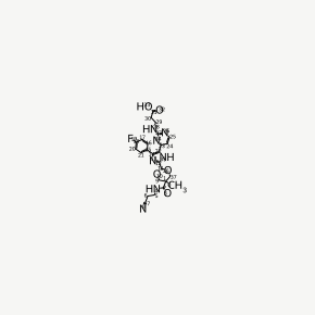 CC1(C(=O)NCCC#N)COC(c2nc(-c3ccc(F)cc3)c(-c3ccnc(NCCC(=O)O)n3)[nH]2)OC1